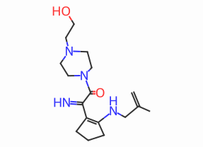 C=C(C)CNC1=C(C(=N)C(=O)N2CCN(CCO)CC2)CCC1